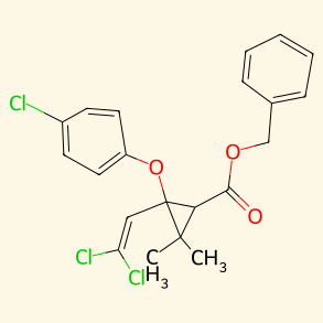 CC1(C)C(C(=O)OCc2ccccc2)C1(C=C(Cl)Cl)Oc1ccc(Cl)cc1